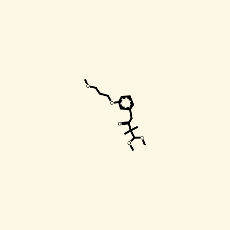 COCCCOc1cccc(CC(=O)C(C)(C)C(OC)OC)c1